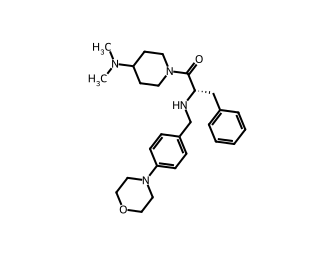 CN(C)C1CCN(C(=O)[C@H](Cc2ccccc2)NCc2ccc(N3CCOCC3)cc2)CC1